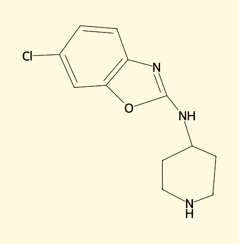 Clc1ccc2nc(NC3CCNCC3)oc2c1